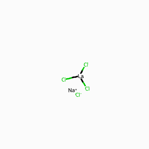 [Cl-].[Cl][La]([Cl])[Cl].[Na+]